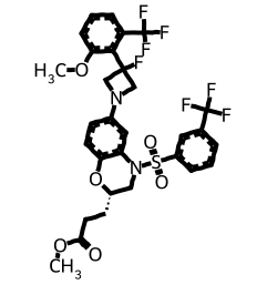 COC(=O)CC[C@H]1CN(S(=O)(=O)c2cccc(C(F)(F)F)c2)c2cc(N3CC(F)(c4c(OC)cccc4C(F)(F)F)C3)ccc2O1